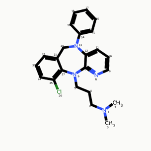 CN(C)CCCN1c2ncccc2N(c2ccccc2)Cc2cccc(Cl)c21